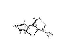 CN1CCCC2C1CCc1cnnn12